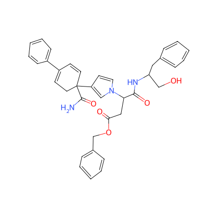 NC(=O)C1(c2ccn(C(CC(=O)OCc3ccccc3)C(=O)NC(CO)Cc3ccccc3)c2)C=CC(c2ccccc2)=CC1